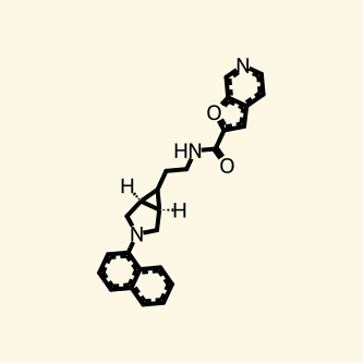 O=C(NCCC1[C@H]2CN(c3cccc4ccccc34)C[C@@H]12)c1cc2ccncc2o1